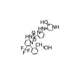 Cc1ccccc1-c1nc(NS(=O)(=O)c2cccc(N[C@@H]3CCNC[C@@H]3O)n2)ccc1C(F)(F)F.Cl